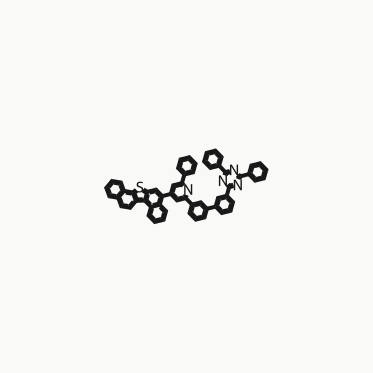 c1ccc(-c2cc(-c3cc4sc5c6ccccc6ccc5c4c4ccccc34)cc(-c3cccc(-c4cccc(-c5nc(-c6ccccc6)nc(-c6ccccc6)n5)c4)c3)n2)cc1